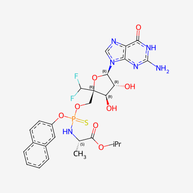 CC(C)OC(=O)[C@H](C)NP(=S)(OC[C@@]1(C(F)F)O[C@@H](n2cnc3c(=O)[nH]c(N)nc32)[C@H](O)[C@H]1O)Oc1ccc2ccccc2c1